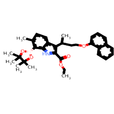 CCOC(=O)c1[nH]c2c(B3OC(C)(C)C(C)(C)O3)c(C)ccc2c1C(C)CCOc1cccc2ccccc12